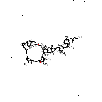 C=C1C[C@@H]2CCC34CC5OC(O3)[C@H]5[C@H]3C[C@@H](O4)[C@H]4O[C@H](CC[C@@H]4O3)CC(=O)O[C@@H]3[C@@H](C)[C@@H]4O[C@@H]5C[C@]6(C[C@@H]7O[C@]8(C[C@H](C)[C@@H]9O[C@H](CC(=O)CCO)[C@H](O)C[C@@H]9O8)C[C@H](C)[C@@H]7O6)O[C@@H]5C[C@@H]4O[C@H]3C[C@H]3O[C@@H](CC[C@@H]1O2)C[C@@H](C)C3=C